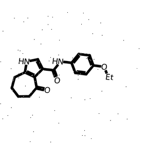 CCOc1ccc(NC(=O)c2c[nH]c3c2C(=O)CCCC3)cc1